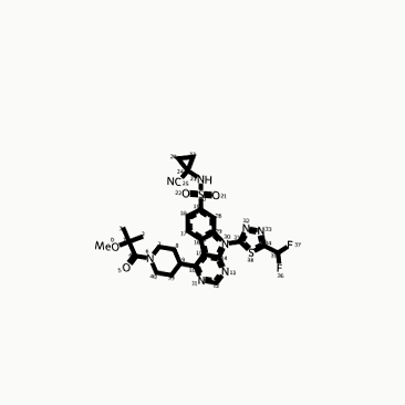 COC(C)(C)C(=O)N1CCC(c2ncnc3c2c2ccc(S(=O)(=O)NC4(C#N)CC4)cc2n3-c2nnc(C(F)F)s2)CC1